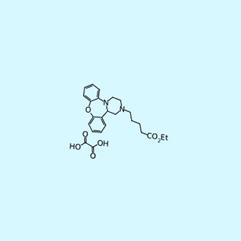 CCOC(=O)CCCCN1CCN2c3ccccc3Oc3ccccc3C2C1.O=C(O)C(=O)O